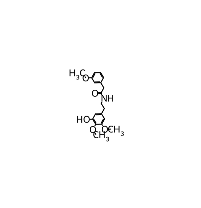 COc1cccc(CC(=O)NCCc2cc(O)c(OC)c(OC)c2)c1